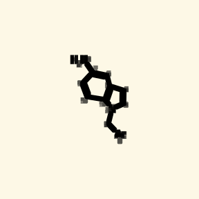 CC(=O)Cn1ccc2cc(N)ccc21